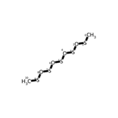 CSOSOSOSOSC